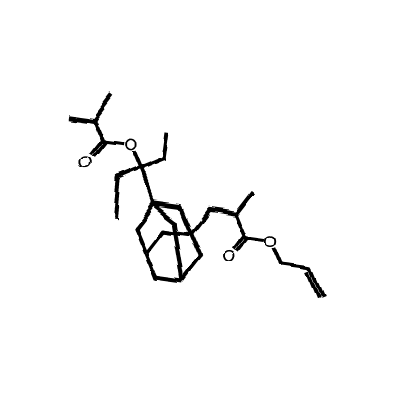 C=CCOC(=O)C(C)CC12CC3CC(C1)CC(C(CC)(CC)OC(=O)C(C)C)(C3)C2